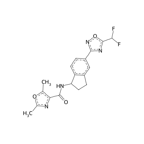 Cc1nc(C(=O)NC2CCc3cc(-c4noc(C(F)F)n4)ccc32)c(C)o1